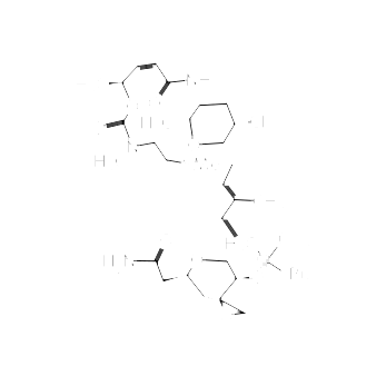 CSCCN(C)C(=O)O[C@@H](C)/C=C\C(=O)N[C@@H]1C[C@H](C)[C@H](C/C=C(C)/C=C/[C@H]2O[C@H](CC(N)=O)C[C@@]3(CO3)[C@@H]2O[Si](C)(C)C(C)(C)C)O[C@@H]1C